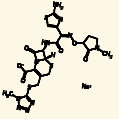 CN1CCC(O/N=C(\C(=O)N[C@@H]2C(=O)N3C(C(=O)[O-])=C(CSc4nnnn4C)CS[C@@H]23)c2csc(N)n2)C1=O.[Na+]